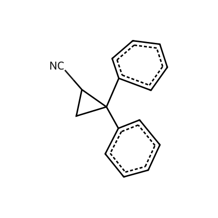 N#CC1CC1(c1ccccc1)c1ccccc1